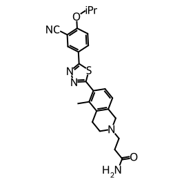 Cc1c(-c2nnc(-c3ccc(OC(C)C)c(C#N)c3)s2)ccc2c1CCN(CCC(N)=O)C2